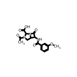 COc1cccc(C(=O)NC2C(=O)N3C2CN(C(C)=O)C3C(=O)O)c1